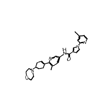 Cc1ccnc(-n2ccc(C(=O)Nc3cnc(C4=CCC(N5CCOCC5)CC4)c(C)c3)c2)c1